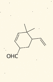 C=CC1CC(C=O)C=CC1(C)C